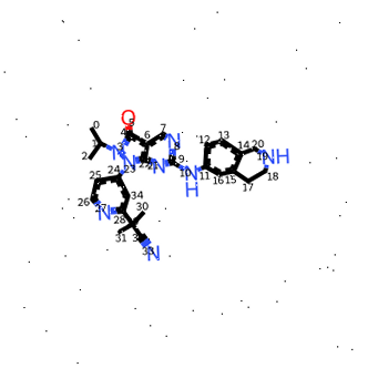 CC(C)n1c(=O)c2cnc(Nc3ccc4c(c3)CCNC4)nc2n1-c1ccnc(C(C)(C)C#N)c1